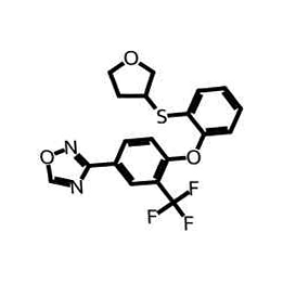 FC(F)(F)c1cc(-c2ncon2)ccc1Oc1ccccc1SC1CCOC1